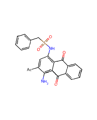 CC(=O)c1cc(NS(=O)(=O)Cc2ccccc2)c2c(c1N)C(=O)c1ccccc1C2=O